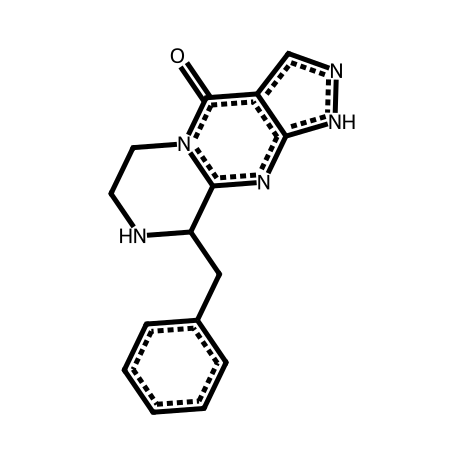 O=c1c2cn[nH]c2nc2n1CCNC2Cc1ccccc1